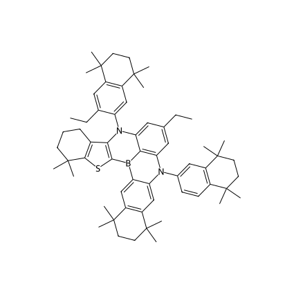 CCc1cc2c3c(c1)N(c1cc4c(cc1CC)C(C)(C)CCC4(C)C)c1c(sc4c1CCCC4(C)C)B3c1cc3c(cc1N2c1ccc2c(c1)C(C)(C)CCC2(C)C)C(C)(C)CCC3(C)C